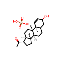 CC(=O)[C@H]1CC[C@H]2[C@@H]3CCC4CC(O)C=C[C@]4(C)[C@H]3CC[C@]12C.O=S(=O)(O)O